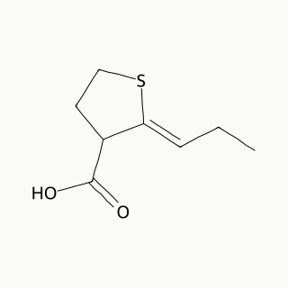 CC/C=C1\SCCC1C(=O)O